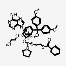 COCCO[C@H]1[C@@H](OP(SCCSC(=O)c2ccccc2)N2CCCC2)[C@@H](COC(c2ccccc2)(c2ccc(OC)cc2)c2ccc(OC)cc2)O[C@H]1n1cnc2c(N)ncnc21